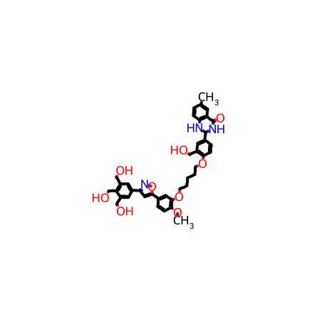 COc1ccc(-c2cc(-c3cc(CO)c(CO)c(CO)c3)no2)cc1OCCCCCOc1ccc(C2NC(=O)c3cc(C)ccc3N2)cc1CO